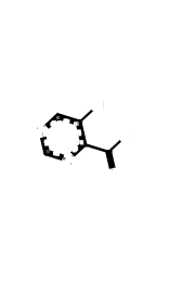 O=C(Cl)c1ncncc1Cl